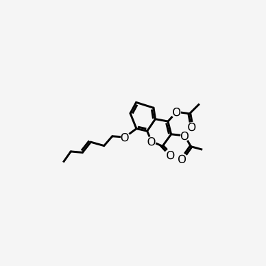 CCC=CCCOc1cccc2c(OC(C)=O)c(OC(C)=O)c(=O)oc12